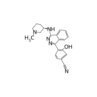 CN1CCC[C@@H](Nc2nnc(-c3ccc(C#N)cc3O)c3ccccc23)C1